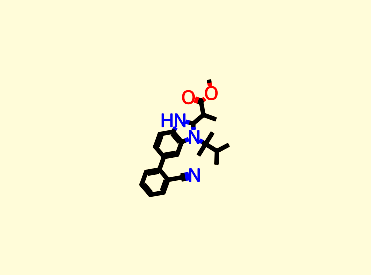 COC(=O)C(C)C1Nc2ccc(-c3ccccc3C#N)cc2N1C(C)(C)C(C)C